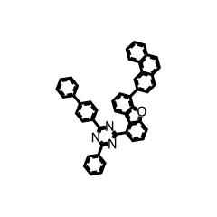 c1ccc(-c2ccc(-c3nc(-c4ccccc4)nc(-c4cccc5oc6c(-c7ccc8ccc9ccccc9c8c7)cccc6c45)n3)cc2)cc1